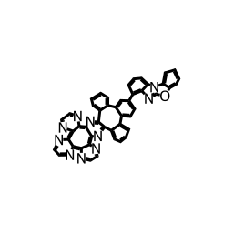 c1ccc2c(c1)oc1nc3c(-c4ccc5c(c4)c4ccccc4c4nc6c7nccnc7c7nccnc7c7nccnc7c6nc4c4ccccc54)cccc3n12